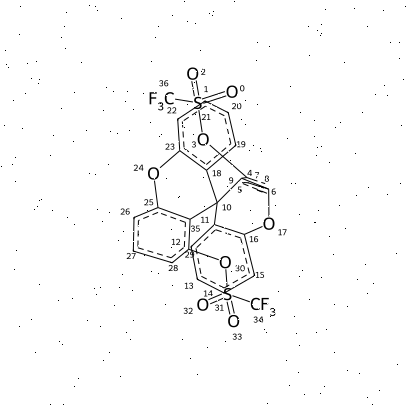 O=S(=O)(Oc1cccc2c1C1(c3ccccc3O2)c2ccccc2Oc2cccc(OS(=O)(=O)C(F)(F)F)c21)C(F)(F)F